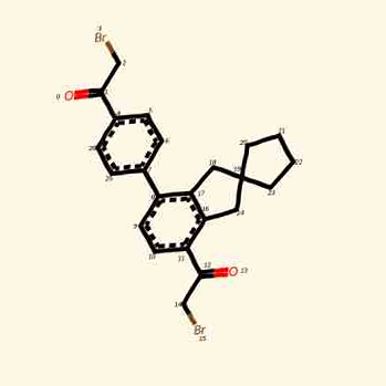 O=C(CBr)c1ccc(-c2ccc(C(=O)CBr)c3c2CC2(CCCC2)C3)cc1